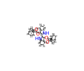 O=C(Oc1c(-c2[nH]c3ccccc3c2OC(=O)C23CC4CC(CC(C4)C2)C3)[nH]c2ccccc12)C12CC3CC(CC(C3)C1)C2